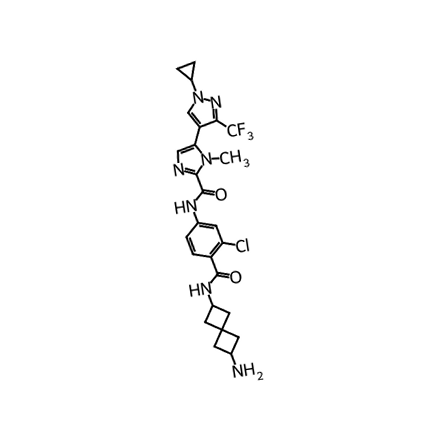 Cn1c(-c2cn(C3CC3)nc2C(F)(F)F)cnc1C(=O)Nc1ccc(C(=O)NC2CC3(CC(N)C3)C2)c(Cl)c1